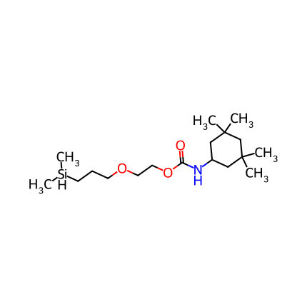 C[SiH](C)CCCOCCOC(=O)NC1CC(C)(C)CC(C)(C)C1